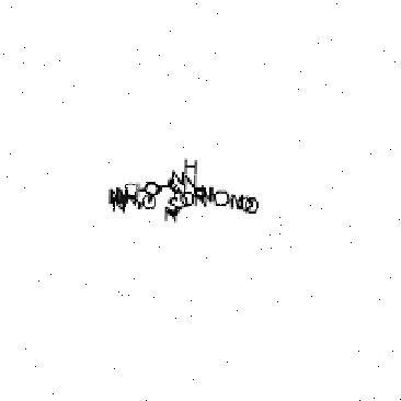 CC(Cn1cnnn1)Oc1cc(-c2cnc(Nc3cn(C4CCC(N5CCOCC5)CC4)nc3OCc3cncs3)nc2)ccc1Cl